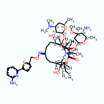 CC[C@H]1OC(=O)[C@H](C)[C@@H](O[C@H]2C[C@@](C)(OC)[C@H](N)[C@H](C)O2)[C@H](C)[C@@H](O[C@@H]2O[C@H](C)C[C@H](N(C)C)[C@H]2O)[C@]2(C)CC/C(=N/OCc3ccc(-c4cccc(N)n4)s3)CC[C@H]([C@@H](C)CN(C)[C@H](C)C2)[C@]1(C)O